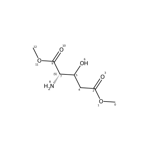 COC(=O)CC(O)[C@H](N)C(=O)OC